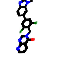 CN1C=NC2C=CC(c3cc(F)c(Cn4cnc5ncccc5c4=O)c(F)c3)=CC21